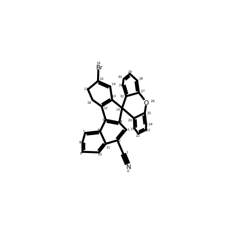 N#Cc1cc2c(c3ccccc13)C1=C(C=C(Br)CC1)C21c2ccccc2Oc2ccccc21